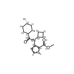 COC(=O)c1sccc1N(C(=O)[C@H]1CC[C@H](C)CC1)C1CCC1